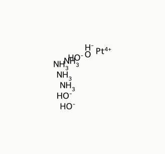 N.N.N.N.[OH-].[OH-].[OH-].[OH-].[Pt+4]